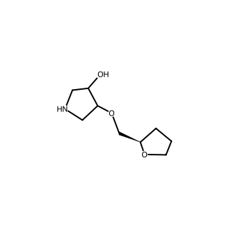 OC1CNCC1OC[C@H]1CCCO1